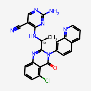 C[C@H](Nc1nc(N)ncc1C#N)c1nc2cccc(Cl)c2c(=O)n1-c1ccc2cccnc2c1